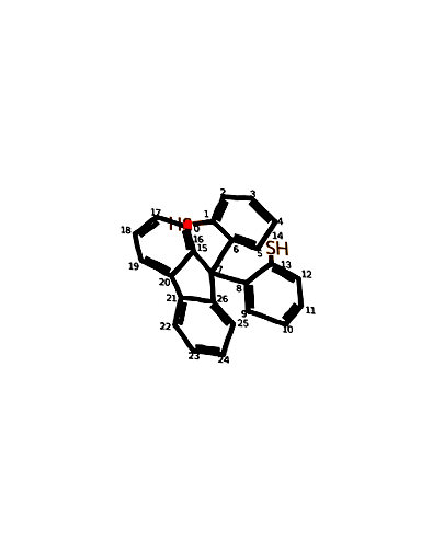 Sc1ccccc1C1(c2ccccc2S)c2ccccc2-c2ccccc21